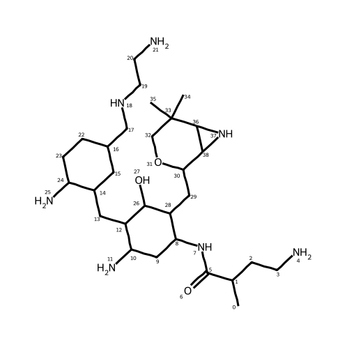 CC(CCN)C(=O)NC1CC(N)C(CC2CC(CNCCN)CCC2N)C(O)C1CC1OCC(C)(C)C2NC12